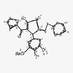 COc1cc(C2C(C(=O)c3cccs3)=C(O)C(=O)N2CCc2ccccc2)cc(C)c1O